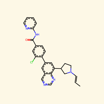 CC=CN1CCC(c2cc(-c3ccc(C(=O)Nc4ccccn4)cc3Cl)cc3cncnc23)C1